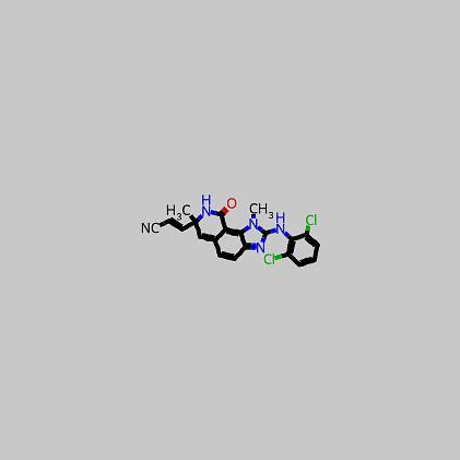 CN1c2c3c(ccc2=NC1Nc1c(Cl)cccc1Cl)=CC(C)(C=CC#N)NC3=O